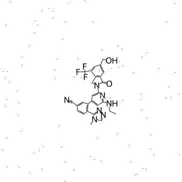 CCNc1cc(-c2cc(C#N)ccc2-c2nncn2C)cc(N2Cc3c(cc(CO)cc3C(F)(F)F)C2=O)n1